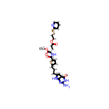 CC(C)(C)OC(=O)[C@H](CCC(=O)OCCSSc1ccccn1)NC(=O)c1ccc(CCCc2cc3c(=O)[nH]c(N)nc3[nH]2)s1